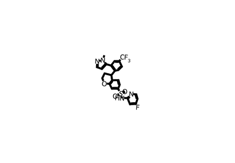 Cn1nccc1-c1cc(C(F)(F)F)ccc1C1CCOc2cc(S(=O)(=O)Nc3cc(F)ccn3)ccc21